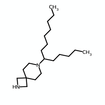 CCCCCCCC(CCCCC)N1CCC2(CC1)CNC2